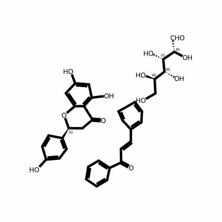 O=C(C=Cc1ccccc1)c1ccccc1.O=C1C[C@@H](c2ccc(O)cc2)Oc2cc(O)cc(O)c21.O=C[C@H](O)[C@@H](O)[C@H](O)[C@H](O)CO